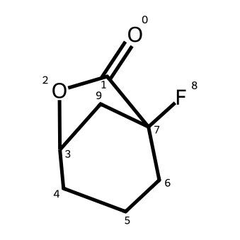 O=C1OC2CCCC1(F)C2